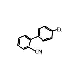 [CH2-][CH+]c1ccc(-c2ccccc2C#N)cc1